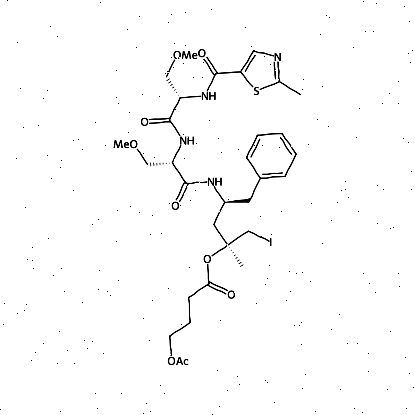 COC[C@H](NC(=O)c1cnc(C)s1)C(=O)N[C@@H](COC)C(=O)N[C@@H](Cc1ccccc1)C[C@@](C)(CI)OC(=O)CCCOC(C)=O